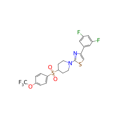 O=S(=O)(c1ccc(OC(F)(F)F)cc1)C1CCN(c2nc(-c3cc(F)cc(F)c3)cs2)CC1